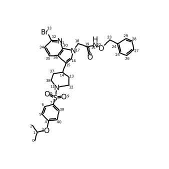 CC(C)Oc1ccc(S(=O)(=O)N2CCC(c3cn(CC(=O)NOCc4ccccc4)c4nc(Br)ccc34)CC2)cc1